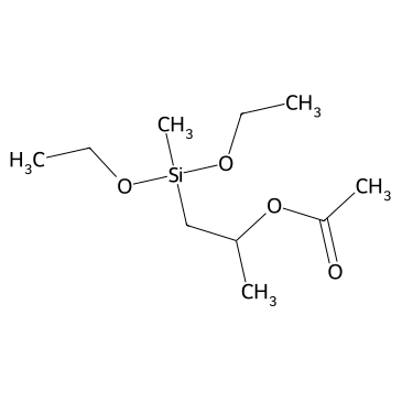 CCO[Si](C)(CC(C)OC(C)=O)OCC